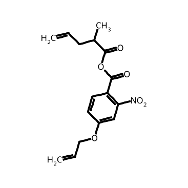 C=CCOc1ccc(C(=O)OC(=O)C(C)CC=C)c([N+](=O)[O-])c1